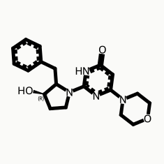 O=c1cc(N2CCOCC2)nc(N2CC[C@@H](O)C2Cc2ccccc2)[nH]1